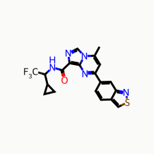 Cc1cc(-c2ccc3csnc3c2)nc2c(C(=O)NC(C3CC3)C(F)(F)F)ncn12